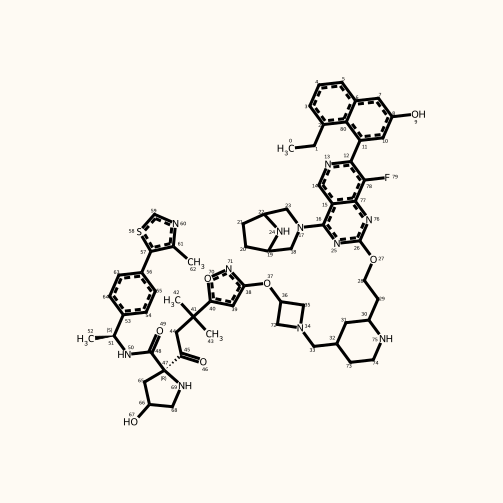 CCc1cccc2cc(O)cc(-c3ncc4c(N5CC6CCC(C5)N6)nc(OCCC5CC(CN6CC(Oc7cc(C(C)(C)CC(=O)[C@@]8(C(=O)N[C@@H](C)c9ccc(-c%10scnc%10C)cc9)CC(O)CN8)on7)C6)CCN5)nc4c3F)c12